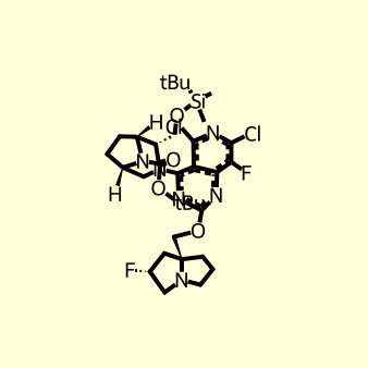 CC(C)(C)OC(=O)N1[C@H]2CC[C@@H]1[C@H](CO[Si](C)(C)C(C)(C)C)N(c1nc(OC[C@@]34CCCN3C[C@H](F)C4)nc3c(F)c(Cl)nc(Cl)c13)C2